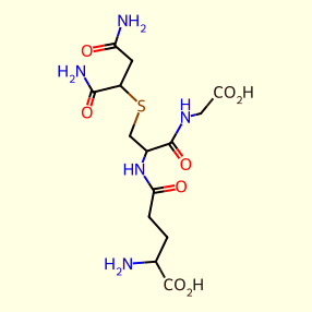 NC(=O)CC(SCC(NC(=O)CCC(N)C(=O)O)C(=O)NCC(=O)O)C(N)=O